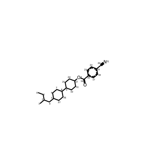 CCC(C)CC1CCC(C2CCC(OC(=O)c3ccc(C#N)cc3)CC2)CC1